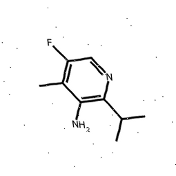 Cc1c(F)cnc(C(C)C)c1N